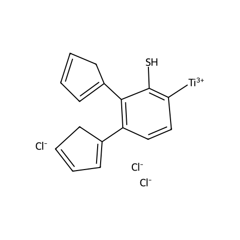 Sc1[c]([Ti+3])ccc(C2=CC=CC2)c1C1=CC=CC1.[Cl-].[Cl-].[Cl-]